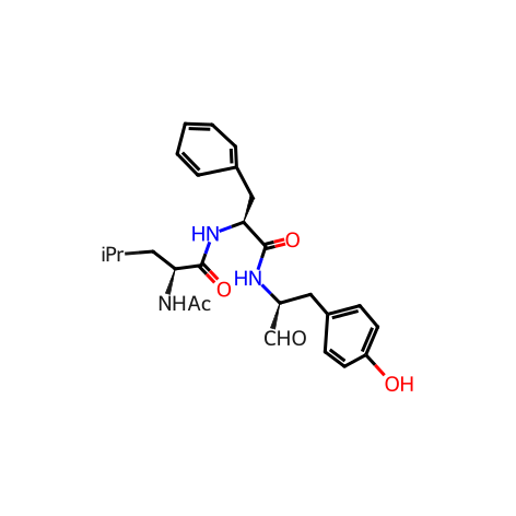 CC(=O)N[C@@H](CC(C)C)C(=O)N[C@@H](Cc1ccccc1)C(=O)N[C@H](C=O)Cc1ccc(O)cc1